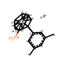 Cc1cc(C)cc([C]23[CH]4[CH]5[CH]6[C]2(P)[Fe]56432789[CH]3[CH]2[CH]7[CH]8[CH]39)c1.[Ir]